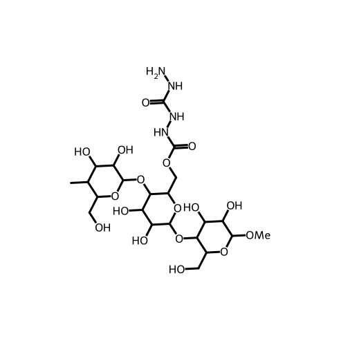 COC1OC(CO)C(OC2OC(COC(=O)NNC(=O)NN)C(OC3OC(CO)C(C)C(O)C3O)C(O)C2O)C(O)C1O